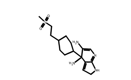 CS(=O)(=O)CCC1CCC(C2(N)C(N)=CN=C3NCC=C32)CC1